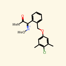 CNC(=O)/C(=N\OC)c1ccccc1COc1cc(C)c(Cl)c(C)c1